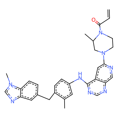 C=CC(=O)N1CCN(c2cc3c(Nc4ccc(Cc5ccc6c(c5)ncn6C)c(C)c4)ncnc3cn2)CC1C